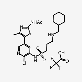 CC(=O)Nc1nc(C)c(-c2cnc(Cl)c(NS(=O)(=O)CCCNCC3CCCCC3)c2)s1.O=C(O)C(F)(F)F